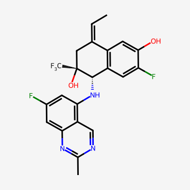 C/C=C1/C[C@](O)(C(F)(F)F)[C@@H](Nc2cc(F)cc3nc(C)ncc23)c2cc(F)c(O)cc21